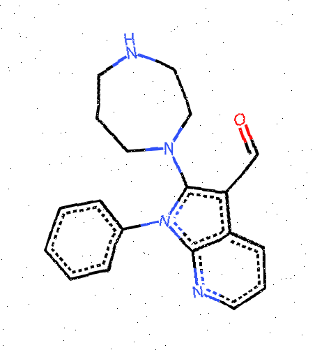 O=Cc1c(N2CCCNCC2)n(-c2ccccc2)c2ncccc12